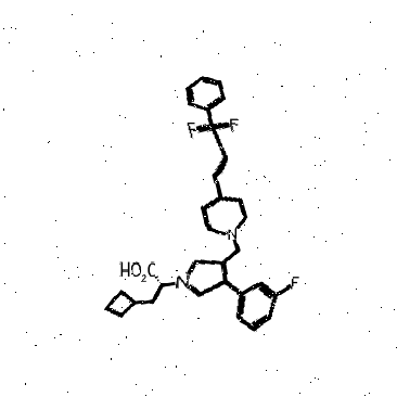 O=C(O)[C@@H](CC1CCC1)N1CC(CN2CCC(CCC(F)(F)c3ccccc3)CC2)C(c2cccc(F)c2)C1